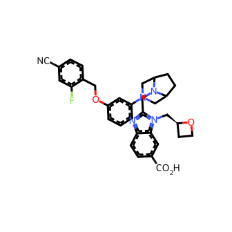 N#Cc1ccc(COc2cccc(N3CC4CCC(C3)N4Cc3nc4ccc(C(=O)O)cc4n3C[C@@H]3CCO3)c2)c(F)c1